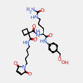 NC(=O)NCCC[C@H](NC(=O)C1(C(=O)NCCCCCN2C(=O)C=CC2=O)CCC1)C(=O)Nc1ccc(COO)cc1